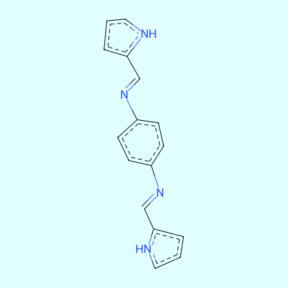 C(=N\c1ccc(/N=C/c2ccc[nH]2)cc1)/c1ccc[nH]1